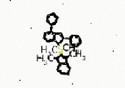 CC1=C(S(C)(C)C2C(c3ccccc3)=Cc3c(-c4ccccc4)cccc32)C(C)c2ccccc21